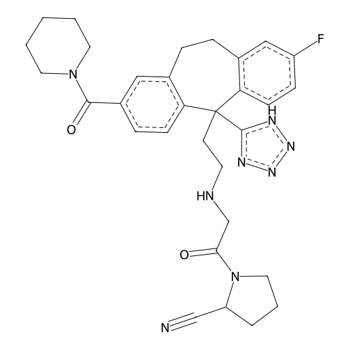 N#CC1CCCN1C(=O)CNCCC1(c2nnn[nH]2)c2ccc(F)cc2CCc2cc(C(=O)N3CCCCC3)ccc21